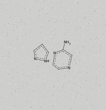 Nc1cnccn1.c1cn[nH]c1